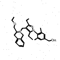 CCOCC1Cc2ccccc2CN1Cc1c(CC)nn(-c2c(C)cc(CO)cc2C)c1CC